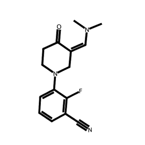 CN(C)/C=C1/CN(c2cccc(C#N)c2F)CCC1=O